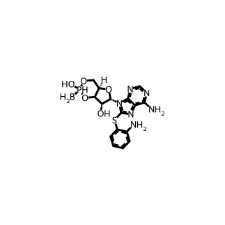 B[PH]1(O)OC[C@H]2O[C@@H](n3c(Sc4ccccc4N)nc4c(N)ncnc43)[C@@H](O)C2O1